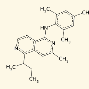 CCC(C)c1nccc2c(Nc3c(C)cc(C)cc3C)nc(C)cc12